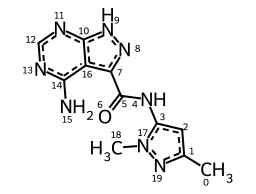 Cc1cc(NC(=O)c2n[nH]c3ncnc(N)c23)n(C)n1